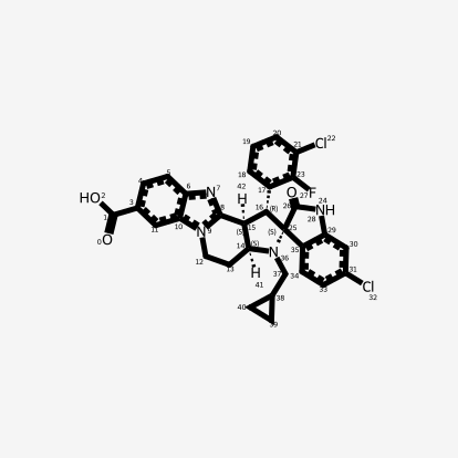 O=C(O)c1ccc2nc3n(c2c1)CC[C@H]1[C@@H]3[C@H](c2cccc(Cl)c2F)[C@]2(C(=O)Nc3cc(Cl)ccc32)N1CC1CC1